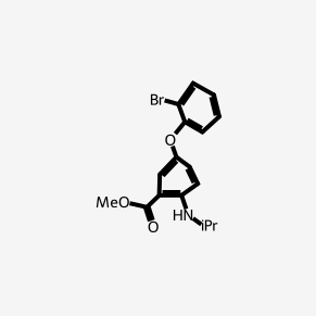 COC(=O)c1cc(Oc2ccccc2Br)ccc1NC(C)C